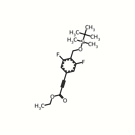 CCOC(=O)C#Cc1cc(F)c(CO[Si](C)(C)C(C)(C)C)c(F)c1